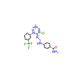 CN/C=C(Cl)\C(=N/CNc1ccc(C(N)=O)cc1)Nc1cccc(C(F)(F)F)c1